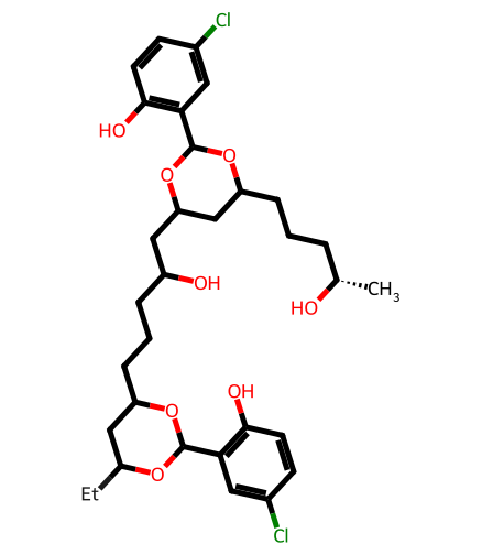 CCC1CC(CCCC(O)CC2CC(CCC[C@H](C)O)OC(c3cc(Cl)ccc3O)O2)OC(c2cc(Cl)ccc2O)O1